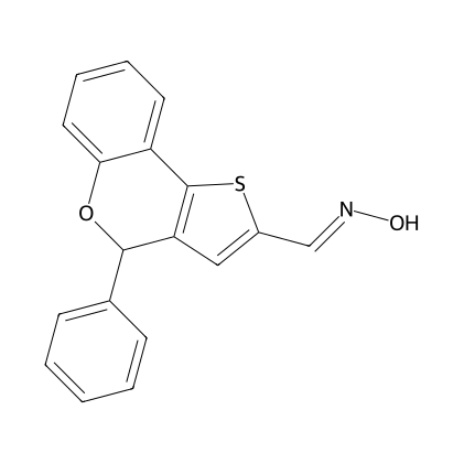 O/N=C/c1cc2c(s1)-c1ccccc1OC2c1ccccc1